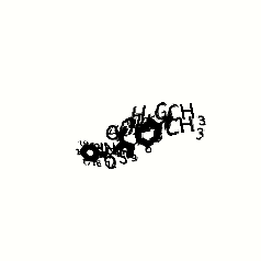 CC(C)(C)[C@H]1CC[C@H](c2csc(NC(=O)c3ccccc3)c2C(=O)O)CC1